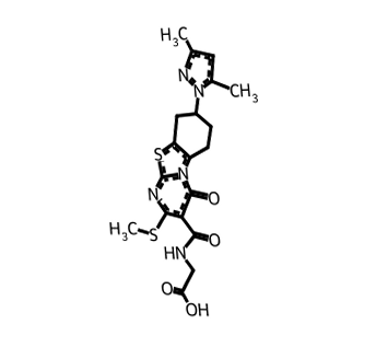 CSc1nc2sc3c(n2c(=O)c1C(=O)NCC(=O)O)CCC(n1nc(C)cc1C)C3